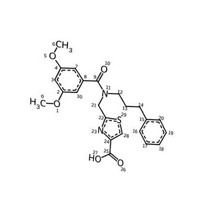 COc1cc(OC)cc(C(=O)N(CCCc2ccccc2)Cc2nc(C(=O)O)cs2)c1